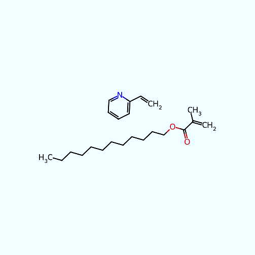 C=C(C)C(=O)OCCCCCCCCCCCC.C=Cc1ccccn1